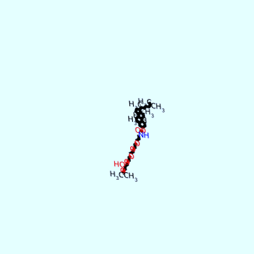 CC(C)CCC[C@@H](C)C1CC[C@H]2[C@@H]3CC=C4C[C@@H](OC(=O)NCCCOCCOCCOCCOCC(O)COC(C)C)CC[C@]4(C)[C@H]3CC[C@]12C